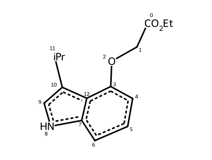 CCOC(=O)COc1cccc2[nH]cc(C(C)C)c12